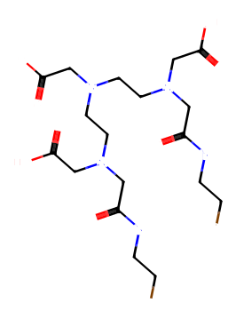 O=C(O)CN(CCN(CC(=O)O)CC(=O)NCCS)CCN(CC(=O)O)CC(=O)NCCS